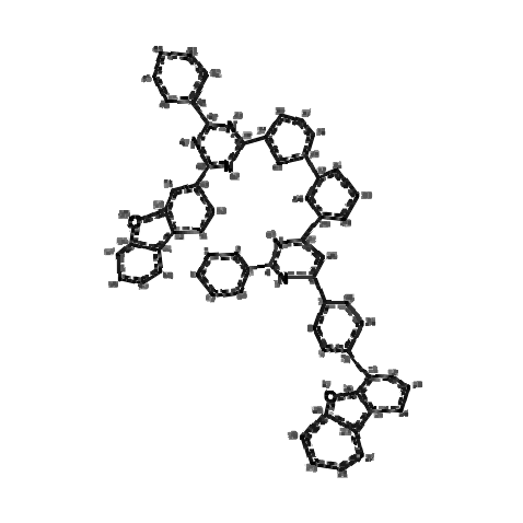 c1ccc(-c2nc(-c3ccc(-c4cccc5c4oc4ccccc45)cc3)cc(-c3cccc(-c4cccc(-c5nc(-c6ccccc6)nc(-c6ccc7c(c6)oc6ccccc67)n5)c4)c3)n2)cc1